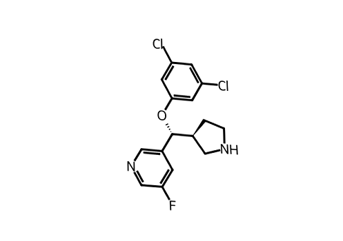 Fc1cncc([C@H](Oc2cc(Cl)cc(Cl)c2)[C@H]2CCNC2)c1